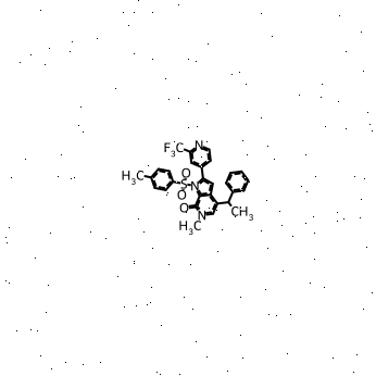 Cc1ccc(S(=O)(=O)n2c(-c3ccnc(C(F)(F)F)c3)cc3c(C(C)c4ccccc4)cn(C)c(=O)c32)cc1